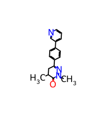 CC1CC(c2ccc(-c3cccnc3)cc2)=NN(C)C1=O